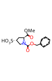 COC(=O)[C@@H]1C[C@@H](S(=O)(=O)O)CN1C(=O)OCc1ccccc1